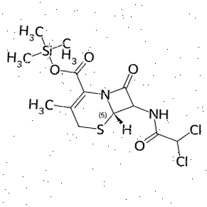 CC1=C(C(=O)O[Si](C)(C)C)N2C(=O)C(NC(=O)C(Cl)Cl)[C@@H]2SC1